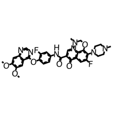 COc1cc2ncnc(Oc3ccc(NC(=O)c4cn5c6c(c(N7CCN(C)CC7)c(F)cc6c4=O)OCN5C)cc3F)c2cc1OC